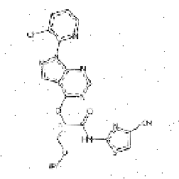 CC(C)OC[C@H](Oc1ncnc2c1cnn2-c1ncccc1Cl)C(=O)Nc1nc(C#N)cs1